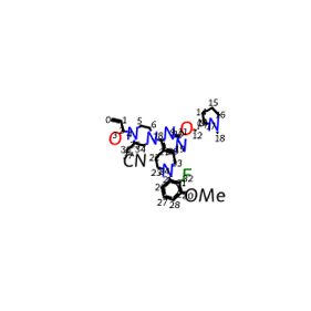 C=CC(=O)N1CCN(c2nc(OC[C@@H]3CCCN3C)nc3c2CCN(c2cccc(OC)c2F)C3)CC1CC#N